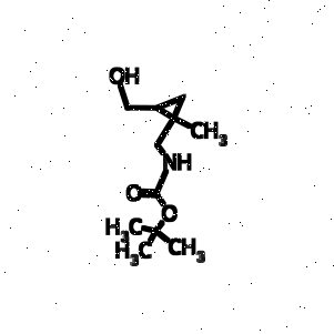 CC(C)(C)OC(=O)NCC1(C)CC1CO